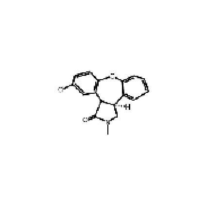 CN1C[C@@H]2c3ccccc3Oc3ccc(Cl)cc3C2C1=O